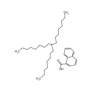 CCCCCCCCP(CCCCCCCC)CCCCCCCC.O=C(O)c1cccc2ccccc12